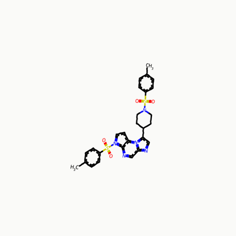 Cc1ccc(S(=O)(=O)N2CCC(c3cnc4cnc5c(ccn5S(=O)(=O)c5ccc(C)cc5)n34)CC2)cc1